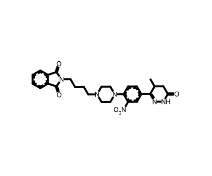 CC1CC(=O)NN=C1c1ccc(N2CCN(CCCCN3C(=O)c4ccccc4C3=O)CC2)c([N+](=O)[O-])c1